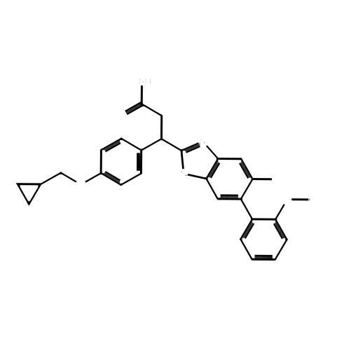 CC(C)Oc1ccccc1-c1cc2[nH]c(C(CC(N)=O)c3ccc(OCC4CC4)cc3)nc2cc1Cl